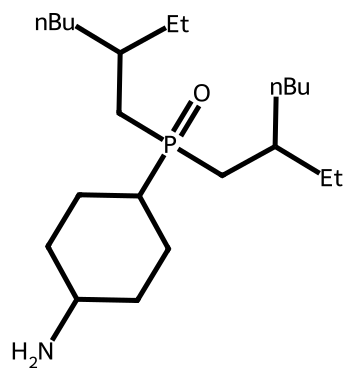 CCCCC(CC)CP(=O)(CC(CC)CCCC)C1CCC(N)CC1